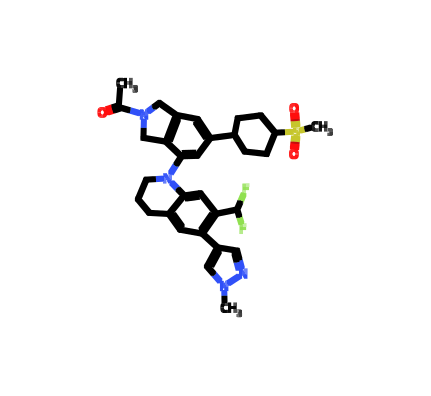 CC(=O)N1Cc2cc(C3CCC(S(C)(=O)=O)CC3)cc(N3CCCc4cc(-c5cnn(C)c5)c(C(F)F)cc43)c2C1